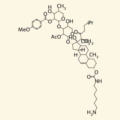 COc1ccc(C(=O)OC2C(OC3C(O)COC(O[C@H]4C[C@H]5[C@@H]6CC=C7C[C@@H](OC(=O)NCCCCCCN)CC[C@]7(C)C6CC[C@]5(C)[C@@]4(O)[C@H](C)C(=O)CCC(C)C)C3OC(C)=O)OCC(C)C2O)cc1